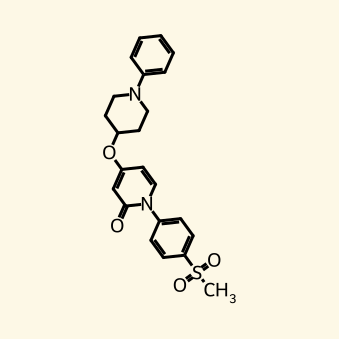 CS(=O)(=O)c1ccc(-n2ccc(OC3CCN(c4ccccc4)CC3)cc2=O)cc1